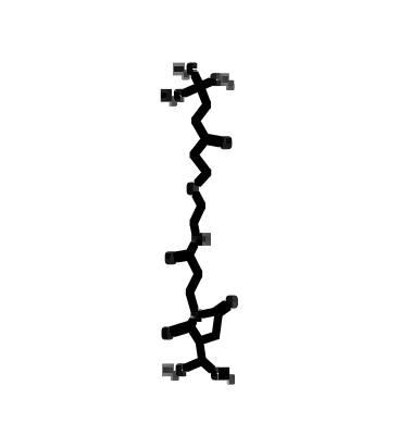 CC(C)C1CC(=O)N(CCC(=O)NCCOCCC(=O)CCC(C)(C)C)C1=O